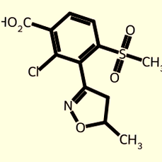 CC1CC(c2c(S(C)(=O)=O)ccc(C(=O)O)c2Cl)=NO1